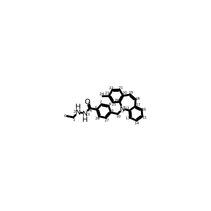 CCNNC(=O)c1ccc(CN2c3ccccc3C=Cc3ccc(C)cc32)cc1